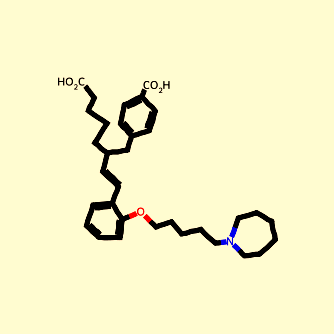 O=C(O)CCCCC(/C=C/c1ccccc1OCCCCCN1CCCCCC1)Cc1ccc(C(=O)O)cc1